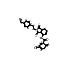 O=C(Nc1cccc2c1C(=O)N(CCc1ccc(CBr)cc1)C2=O)C1=CC(Cl)=CCC1=S